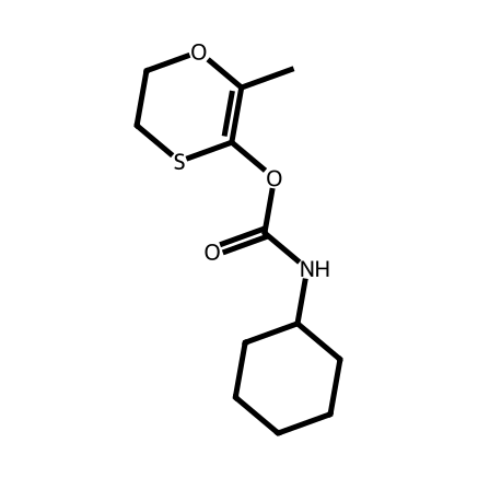 CC1=C(OC(=O)NC2CCCCC2)SCCO1